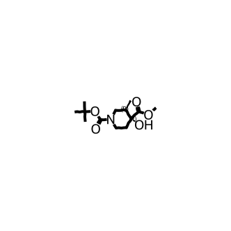 COC(=O)[C@@]1(O)CCN(C(=O)OC(C)(C)C)C[C@H]1C